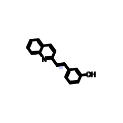 Oc1cccc(/C=C/c2ccc3ccccc3n2)c1